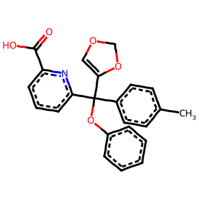 Cc1ccc(C(Oc2ccccc2)(C2=COCO2)c2cccc(C(=O)O)n2)cc1